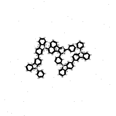 c1ccc(-c2nc(-c3cccc(-n4c5ccccc5c5ccc(-c6ccc7c(c6)c6ccccc6n7-c6ccccc6)cc54)c3)c3c(n2)-c2cccc4c(-n5c6ccccc6c6ccc(-c7ccc8c(c7)c7ccccc7n8-c7ccccc7)cc65)ccc-3c24)cc1